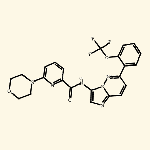 O=C(Nc1cnc2ccc(-c3ccccc3OC(F)(F)F)nn12)c1cccc(N2CCOCC2)n1